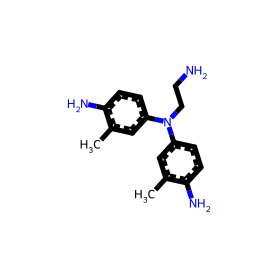 Cc1cc(N(CCN)c2ccc(N)c(C)c2)ccc1N